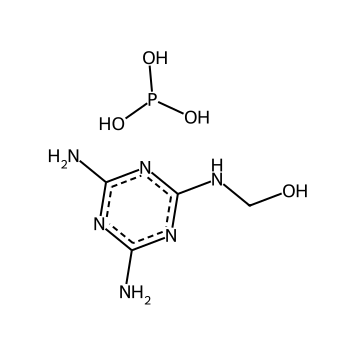 Nc1nc(N)nc(NCO)n1.OP(O)O